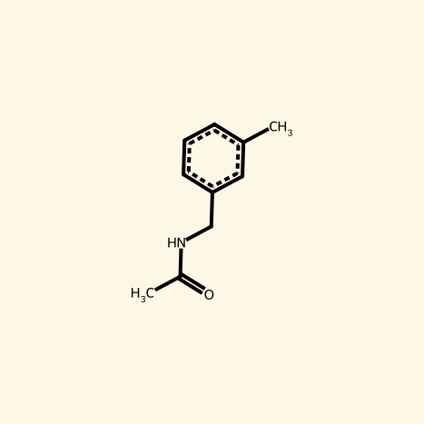 CC(=O)NCc1cccc(C)c1